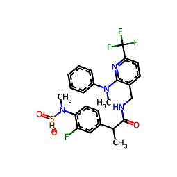 CC(C(=O)NCc1ccc(C(F)(F)F)nc1N(C)c1ccccc1)c1ccc(N(C)[SH](=O)=O)c(F)c1